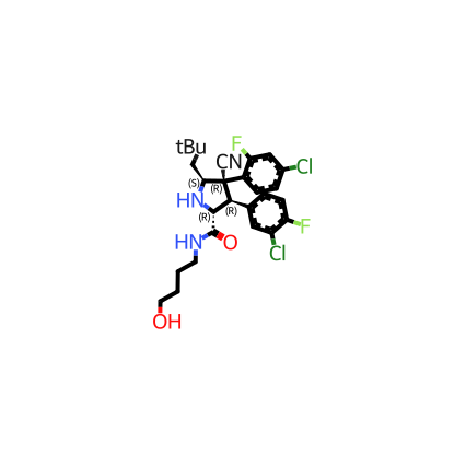 CC(C)(C)C[C@@H]1N[C@@H](C(=O)NCCCCO)[C@H](c2ccc(F)c(Cl)c2)[C@@]1(C#N)c1ccc(Cl)cc1F